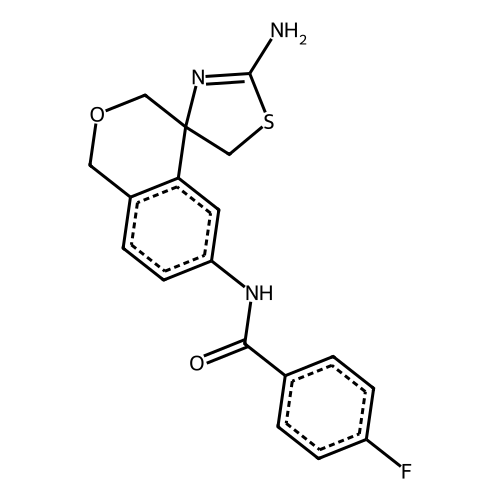 NC1=NC2(COCc3ccc(NC(=O)c4ccc(F)cc4)cc32)CS1